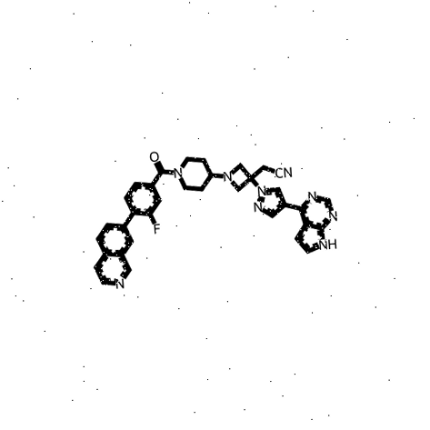 N#CCC1(n2cc(-c3ncnc4[nH]ccc34)cn2)CN(C2CCN(C(=O)c3ccc(-c4ccc5ccncc5c4)c(F)c3)CC2)C1